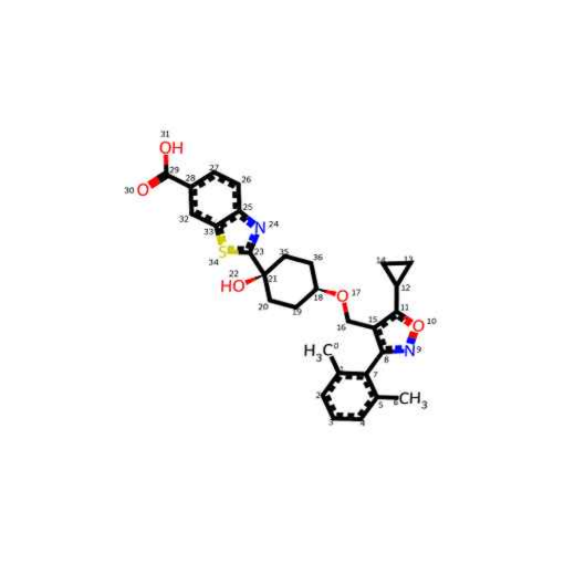 Cc1cccc(C)c1-c1noc(C2CC2)c1CO[C@H]1CC[C@](O)(c2nc3ccc(C(=O)O)cc3s2)CC1